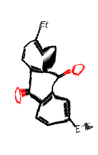 CCc1ccc2c(c1)C(=O)c1cc(CC)ccc1C2=O